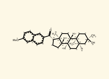 COc1ccc2cc(C(=O)[C@H]3CC[C@H]4[C@@H]5CC[C@@H]6C[C@](C)(O)CC[C@]6(C)[C@H]5CC[C@]34C)ccc2c1